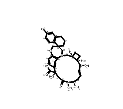 C[C@@H]1C/C=C/[C@H](O)[C@@H]2CC[C@H]2CN2C[C@@]3(CCCc4cc(Cl)ccc43)COc3ccc(cc32)[C@@](O)(C(=O)O)CC(=O)N1C